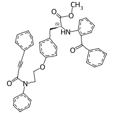 COC(=O)[C@H](Cc1ccc(OCCN(C(=O)C#Cc2ccccc2)c2ccccc2)cc1)Nc1ccccc1C(=O)c1ccccc1